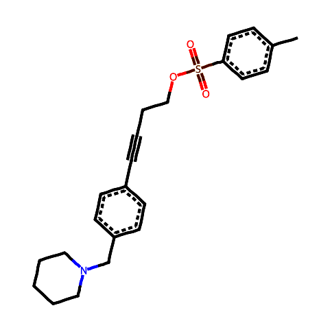 Cc1ccc(S(=O)(=O)OCCC#Cc2ccc(CN3CCCCC3)cc2)cc1